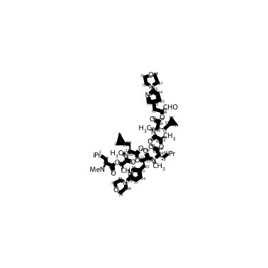 CN[C@@H](CC(C)C)C(=O)O[C@H](C)C(=O)N(C)[C@@H](CC1CC1)C(=O)O[C@H](Cc1ccc(N2CCOCC2)nc1)C(=O)N(C)[C@@H](CC(C)C)C(=O)O[C@H](C)C(=O)N(C)[C@@H](CC1CC1)C(=O)O[C@@H](C=O)Cc1ccc(N2CCOCC2)nc1